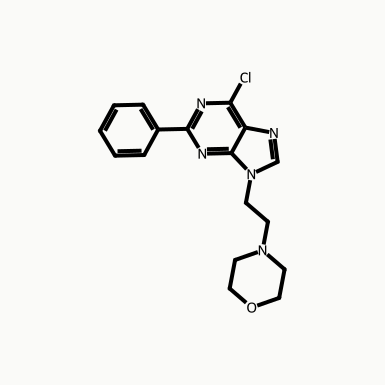 Clc1nc(-c2ccccc2)nc2c1ncn2CCN1CCOCC1